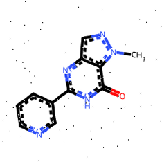 Cn1ncc2nc(-c3cccnc3)[nH]c(=O)c21